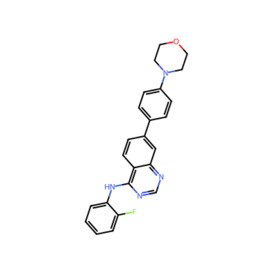 Fc1ccccc1Nc1ncnc2cc(-c3ccc(N4CCOCC4)cc3)ccc12